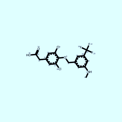 CNc1cc(COc2c(Cl)cc(CC(=O)O)cc2Cl)cc(C(F)(F)F)c1